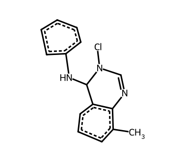 Cc1cccc2c1N=CN(Cl)C2Nc1ccccc1